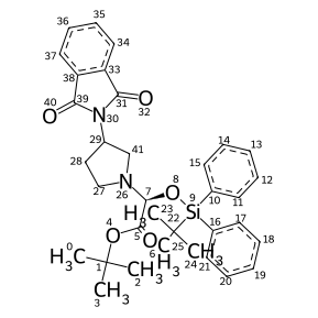 CC(C)(C)OC(=O)[C@H](O[Si](c1ccccc1)(c1ccccc1)C(C)(C)C)N1CCC(N2C(=O)c3ccccc3C2=O)C1